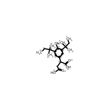 CCC(C)(C)c1cc(C(CC(=O)O)C(=O)O)cc(C(C)(C)CC)c1O